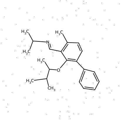 Cc1ccc(-c2ccccc2)c(OC(C)C(C)C)c1/C=N/C(C)C